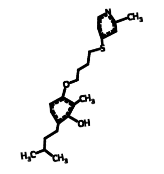 Cc1cc(SCCCCOc2ccc(CCC(C)C)c(O)c2C)ccn1